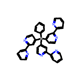 c1ccc([Si](c2ccnc(-c3ccccn3)c2)(c2ccnc(-c3ccccn3)c2)c2ccnc(-c3ccccn3)c2)cc1